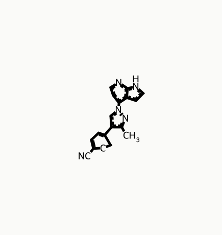 Cc1nn(-c2ccnc3[nH]ccc23)cc1C1=CC=C(C#N)CC1